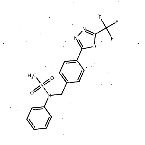 CS(=O)(=O)N(Cc1ccc(-c2nnc(C(F)(F)F)o2)cc1)c1ccccc1